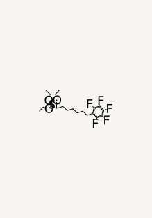 CCO[Si](CCCCCCCc1c(F)c(F)c(F)c(F)c1F)(OCC)OCC